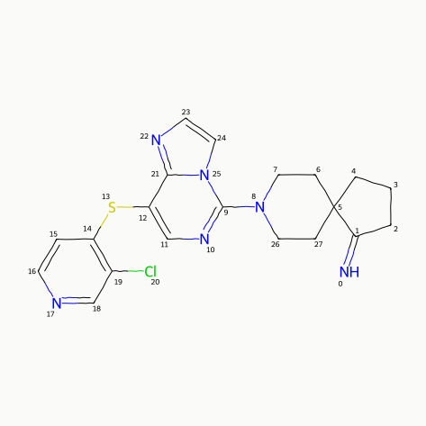 N=C1CCCC12CCN(c1ncc(Sc3ccncc3Cl)c3nccn13)CC2